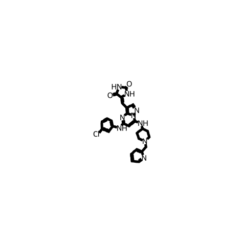 O=C1NC(=O)C(=Cc2cnn3c(NC4CCN(Cc5ccccn5)CC4)cc(Nc4cccc(Cl)c4)nc23)N1